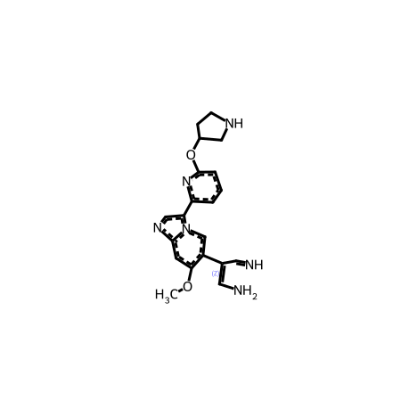 COc1cc2ncc(-c3cccc(OC4CCNC4)n3)n2cc1/C(C=N)=C/N